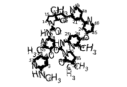 CNc1cc(Oc2ccc(NC(=O)N3CCC(C)(CCc4cc(-c5cc(Oc6ccc(NC(=O)N7CCC(C)(C)C7=O)nc6C)ccn5)ccn4)C3=O)nc2C)ccn1